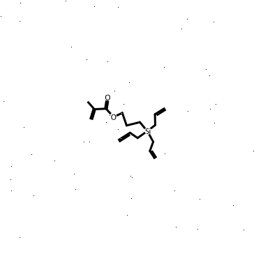 C=CC[Si](CC=C)(CC=C)CCCOC(=O)C(=C)C